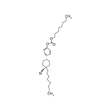 CCCCCCCCOC(=O)Oc1ccc([C@H]2CC[C@@](C#N)(CCCCCCCC)CC2)cc1